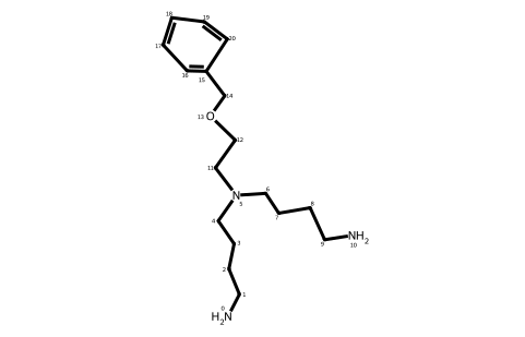 NCCCCN(CCCCN)CCOCc1ccccc1